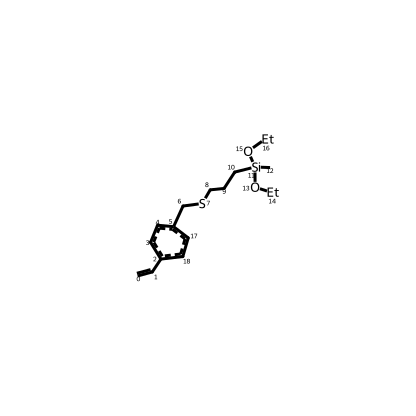 C=Cc1ccc(CSCCC[Si](C)(OCC)OCC)cc1